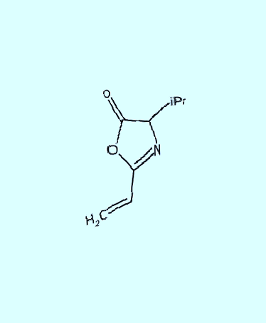 C=CC1=NC(C(C)C)C(=O)O1